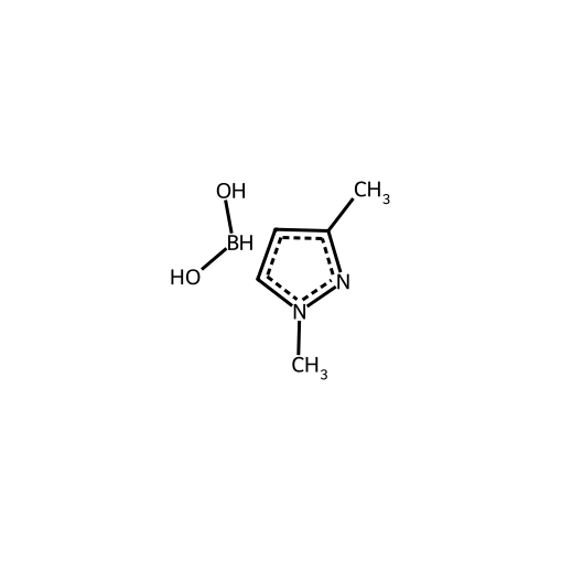 Cc1ccn(C)n1.OBO